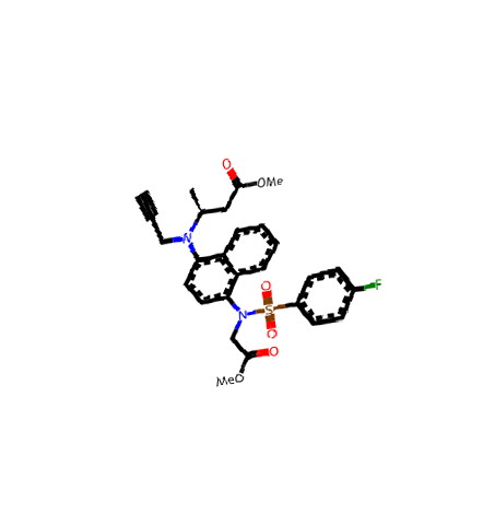 C#CCN(c1ccc(N(CC(=O)OC)S(=O)(=O)c2ccc(F)cc2)c2ccccc12)[C@@H](C)CC(=O)OC